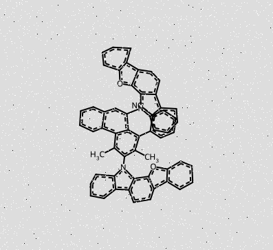 Cc1c(-n2c3ccccc3c3ccc4c5ccccc5oc4c32)c(C)c2c(c(-n3c4ccccc4c4ccc5c6ccccc6oc5c43)cc3ccccc32)c1-c1ccccc1C#N